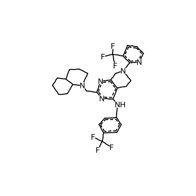 FC(F)(F)c1ccc(Nc2nc(CN3CCCC4CCCCC43)nc3c2CCN(c2ncccc2C(F)(F)F)C3)cc1